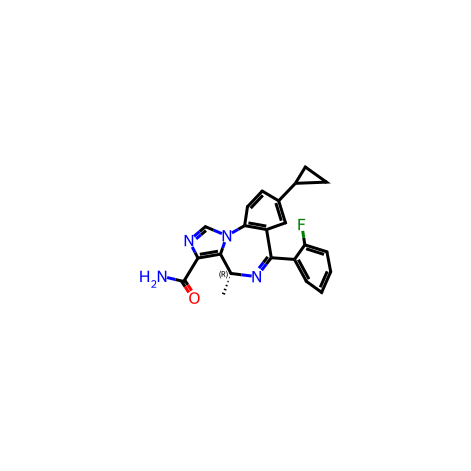 C[C@H]1N=C(c2ccccc2F)c2cc(C3CC3)ccc2-n2cnc(C(N)=O)c21